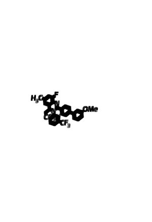 COc1cccc(-c2ccc(C3=Nc4c(F)cc(C)cc4C(CC(=O)O)N3c3cccc(C(F)(F)F)c3)cc2)c1